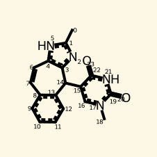 Cc1nc2c([nH]1)C=Cc1ccccc1C2c1cn(C)c(=O)[nH]c1=O